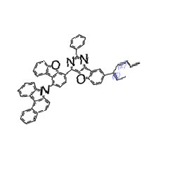 C=C/C=C\C(=C/C)c1ccc2oc3c(-c4ccc(-n5c6ccccc6c6c7ccccc7ccc65)c5c4oc4ccccc45)nc(-c4ccccc4)nc3c2c1